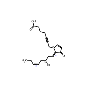 CC/C=C\C[C@H](O)C/C=C1/C(=O)C=C[C@@H]1CC#CCCCC(=O)O